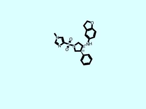 Cn1cnc(S(=O)(=O)N2C[C@H](Nc3ccc4c(c3)CCO4)[C@@H](c3ccccc3)C2)c1